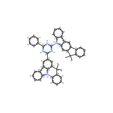 CC1(C)c2ccccc2-c2cc3c4ccccc4n(-c4nc(-c5ccccc5)nc(-c5cc6c7c(c5)c5ccccc5n7-c5ccccc5C6(C)C)n4)c3cc21